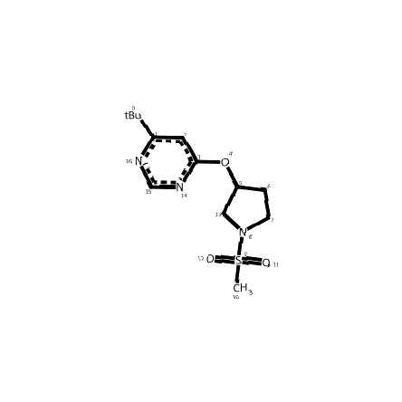 CC(C)(C)c1cc(OC2CCN(S(C)(=O)=O)C2)ncn1